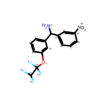 NC(c1cccc(OC(F)(F)C(F)F)c1)c1cccc([N+](=O)[O-])c1